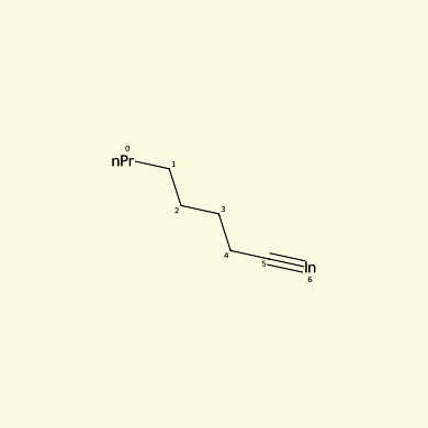 CCCCCCC[C]#[In]